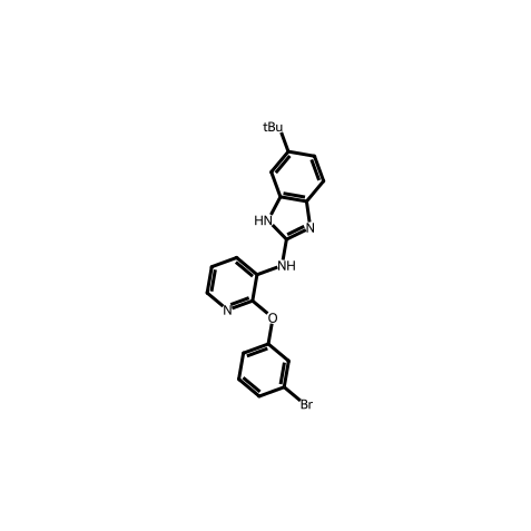 CC(C)(C)c1ccc2nc(Nc3cccnc3Oc3cccc(Br)c3)[nH]c2c1